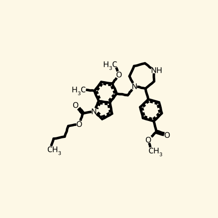 CCCCOC(=O)n1ccc2c(CN3CCCNCC3c3ccc(C(=O)OC)cc3)c(OC)cc(C)c21